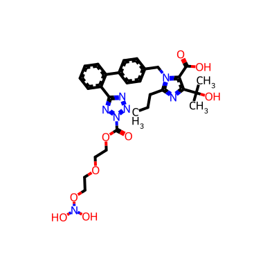 CCCc1nc(C(C)(C)O)c(C(=O)O)n1Cc1ccc(-c2ccccc2-c2nnn(C(=O)OCCOCCON(O)O)n2)cc1